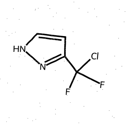 FC(F)(Cl)c1cc[nH]n1